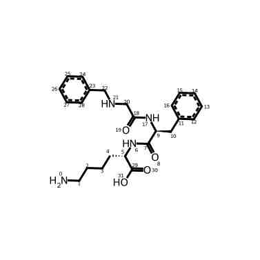 NCCCC[C@H](NC(=O)[C@H](Cc1ccccc1)NC(=O)CNCc1ccccc1)C(=O)O